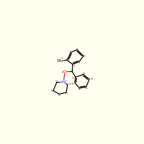 CC(C)(C)c1ccccc1C(ON1CCCCC1)c1ccccc1